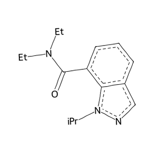 CCN(CC)C(=O)c1cccc2cnn(C(C)C)c12